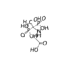 CC(NCC(=O)O)(P(=O)(O)O)P(=O)(O)O